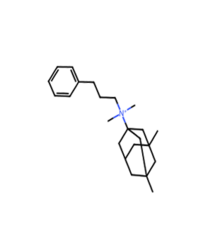 CC12CC3CC(C)(C1)CC([N+](C)(C)CCCc1ccccc1)(C3)C2